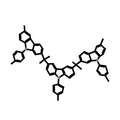 Cc1ccc(-n2c3ccc(C(C)(C)c4ccc5c6cc(C)ccc6n(-c6ccc(C)cc6)c5c4)cc3c3cc(C(C)(C)c4ccc5c6cc(C)ccc6n(-c6ccc(C)cc6)c5c4)ccc32)cc1